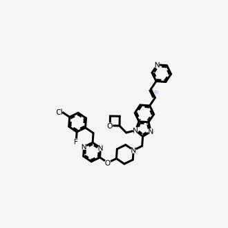 Fc1cc(Cl)ccc1Cc1nccc(OC2CCN(Cc3nc4cc(/C=C/c5cccnc5)ccc4n3CC3CCO3)CC2)n1